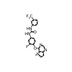 Cn1ccc2ncnc(Oc3ccc(NC(=O)Nc4cccc(C(F)(F)F)c4)cc3F)c21